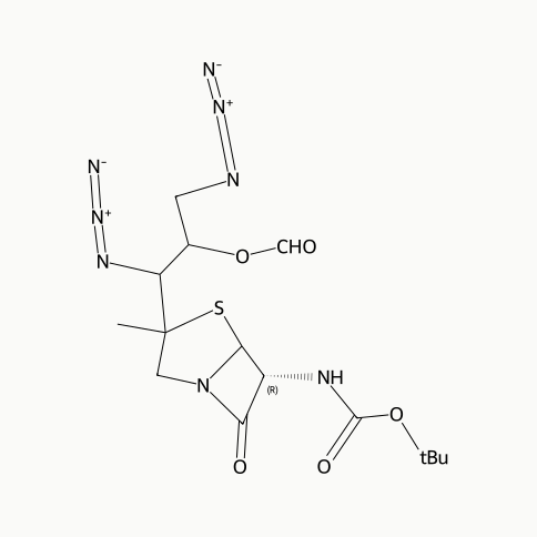 CC(C)(C)OC(=O)N[C@@H]1C(=O)N2CC(C)(C(N=[N+]=[N-])C(CN=[N+]=[N-])OC=O)SC12